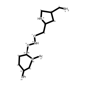 BCC1CNC(CONO[C@@H]2CCC(CCC)CN2C(C)=O)C1